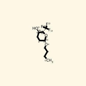 CCCCO[C@@H]1CC[C@@H](O)[C@H](C(F)(F)F)O1